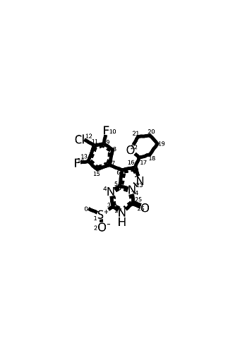 C[S+]([O-])c1nc2c(-c3cc(F)c(Cl)c(F)c3)c(C3CCCCO3)nn2c(=O)[nH]1